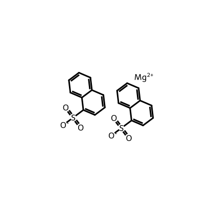 O=S(=O)([O-])c1cccc2ccccc12.O=S(=O)([O-])c1cccc2ccccc12.[Mg+2]